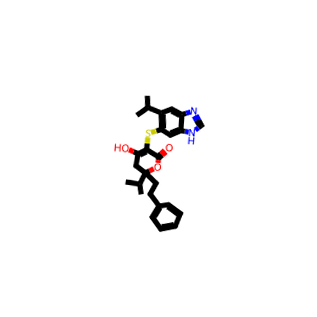 CC(C)c1cc2nc[nH]c2cc1SC1=C(O)CC(CCc2ccccc2)(C(C)C)OC1=O